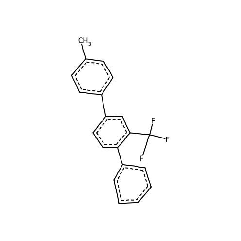 Cc1ccc(-c2ccc(-c3ccccc3)c(C(F)(F)F)c2)cc1